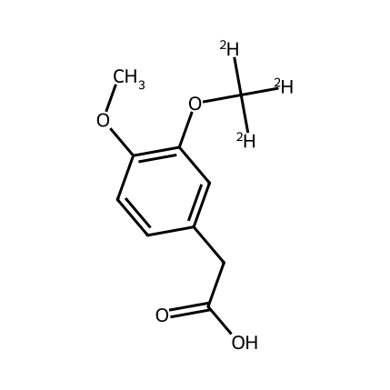 [2H]C([2H])([2H])Oc1cc(CC(=O)O)ccc1OC